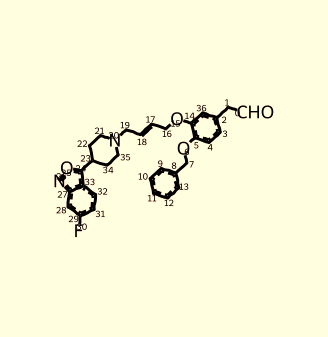 O=CCc1ccc(OCc2ccccc2)c(OC/C=C/CN2CCC(c3onc4cc(F)ccc34)CC2)c1